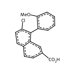 COc1ccccc1-c1c(Cl)ccc2ccc(C(=O)O)cc12